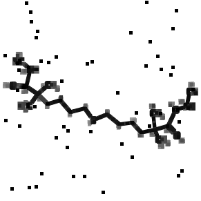 CC(C)(CCCCSCCCCC(C)(C)C(=O)ONC#N)C(=O)NC#N